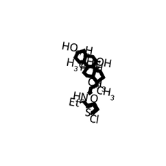 CC[C@@H](NC(=O)C[C@@H](C)C1CC[C@H]2[C@@H]3[C@H](O)C[C@@H]4C[C@H](O)CC[C@]4(C)[C@H]3CC[C@]12C)c1ccc(Cl)s1